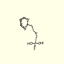 OP(O)(=S)SCSc1ncccn1